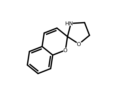 C1=CC2(NCCO2)Oc2ccccc21